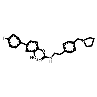 O=C(NCCc1ccc(CN2CCCC2)cc1)Oc1ccc(-c2ccc(F)cc2)cc1[N+](=O)[O-]